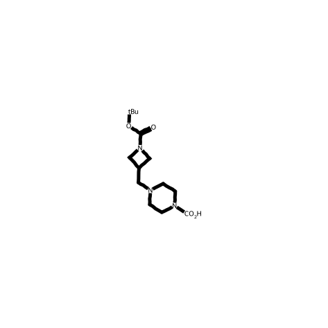 CC(C)(C)OC(=O)N1CC(CN2CCN(C(=O)O)CC2)C1